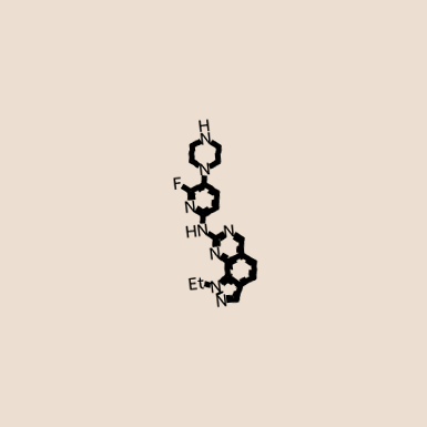 CCn1ncc2ccc3cnc(Nc4ccc(N5CCNCC5)c(F)n4)nc3c21